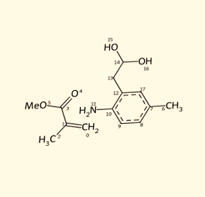 C=C(C)C(=O)OC.Cc1ccc(N)c(CC(O)O)c1